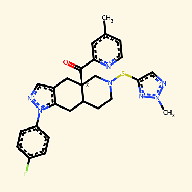 Cc1ccnc(C(=O)[C@]23Cc4cnn(-c5ccc(F)cc5)c4CC2CCN(Sc2cnn(C)n2)C3)c1